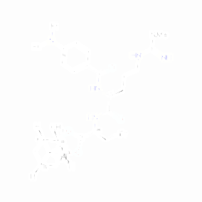 CCN(CC)c1ccc(C(=O)N[C@@H](CCCNC(=N)NC)C(=O)N[C@@H](CC(C)C)B2O[C@@H]3C[C@@H]4C[C@@H](C4(C)C)[C@]3(C)O2)cc1